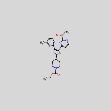 CCOC(=O)N1CCC(c2nc(-c3cccc(C)c3)c(-c3ccnc([S+](C)[O-])n3)s2)CC1